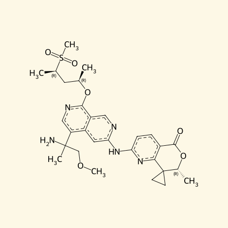 COCC(C)(N)c1cnc(O[C@H](C)C[C@@H](C)S(C)(=O)=O)c2cnc(Nc3ccc4c(n3)C3(CC3)[C@@H](C)OC4=O)cc12